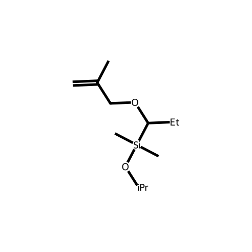 C=C(C)COC(CC)[Si](C)(C)OC(C)C